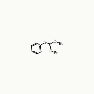 CCOP(OCC)Sc1ccccc1